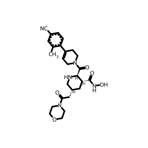 Cc1cc(C#N)ccc1C1=CCN(C(=O)[C@@H]2NC[C@@H](CC(=O)N3CCOCC3)C[C@H]2C(=O)NO)CC1